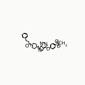 CS(=O)(=O)c1ccc(Oc2ncnc3c2cnn3C2CCN(C(=O)CCc3ccccc3)CC2)cc1